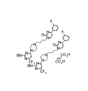 CC(C)(C)c1nc(N2CCN(CCCCn3ccc(-c4cccc(F)c4)nc3=O)CC2)cc(C(F)(F)F)n1.CC(C)(C)c1nc(N2CCN(CCCCn3ccc(-c4cccc(F)c4)nc3=O)CC2)cc(C(F)(F)F)n1.O=C(O)/C=C/C(=O)O